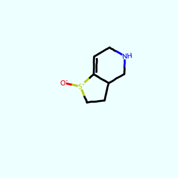 [O-][S+]1CCC2CNCC=C21